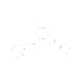 Cc1ccc(-c2nc3c(C(=O)N[C@@H]4CN5CCC4CC5)cc(Cl)cc3o2)s1